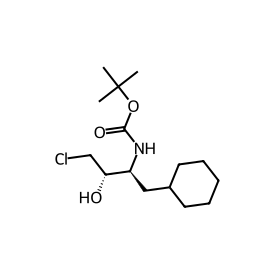 CC(C)(C)OC(=O)N[C@@H](CC1CCCCC1)[C@H](O)CCl